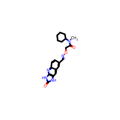 CN(C(=O)CO/N=C/c1ccc2nc3[nH]c(=O)[nH]c3cc2c1)C1CCCCC1